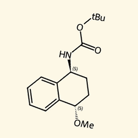 CO[C@H]1CC[C@H](NC(=O)OC(C)(C)C)c2ccccc21